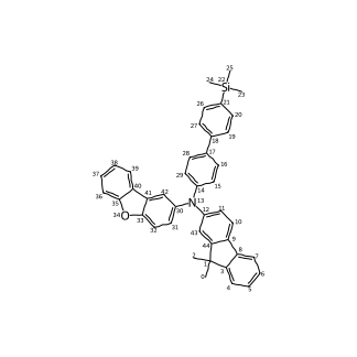 CC1(C)c2ccccc2-c2ccc(N(c3ccc(-c4ccc([Si](C)(C)C)cc4)cc3)c3ccc4oc5ccccc5c4c3)cc21